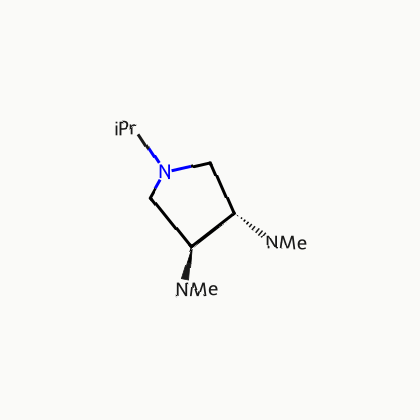 CN[C@H]1CN(C(C)C)C[C@@H]1NC